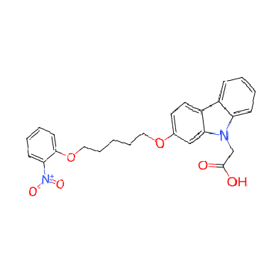 O=C(O)Cn1c2ccccc2c2ccc(OCCCCCOc3ccccc3[N+](=O)[O-])cc21